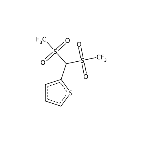 O=S(=O)(C(c1cccs1)S(=O)(=O)C(F)(F)F)C(F)(F)F